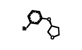 Brc1cccc(O[C@H]2CCOC2)c1